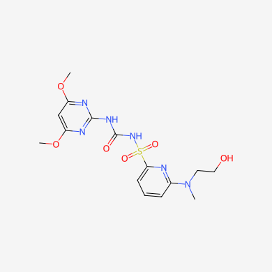 COc1cc(OC)nc(NC(=O)NS(=O)(=O)c2cccc(N(C)CCO)n2)n1